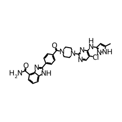 Cc1cc(Nc2nc(N3CCN(C(=O)c4ccc(-c5nc6c(C(N)=O)cccc6[nH]5)cc4)CC3)ncc2Cl)n[nH]1